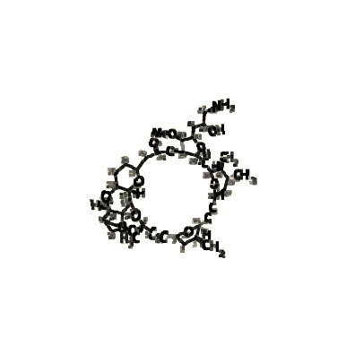 C=C1CC2CC[C@]3(C)OC4COC5C(O3)[C@H]3OC(CCC3O[C@@H]45)CC(=O)CC3[C@H](C[C@H]4O[C@@H](CC[C@@H]1O2)C[C@@H](C)C4=C)O[C@H](CC(O)CN)[C@@H]3OC